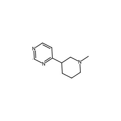 CN1CCCC(c2ccn[c]n2)C1